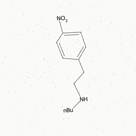 CCCCNCCc1ccc([N+](=O)[O-])cc1